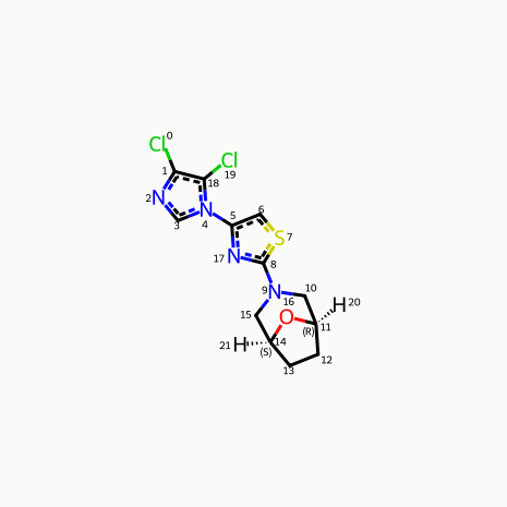 Clc1ncn(-c2csc(N3C[C@H]4CC[C@@H](C3)O4)n2)c1Cl